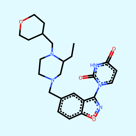 CCC1CN(Cc2ccc3onc(-n4ccc(=O)[nH]c4=O)c3c2)CCN1CC1CCOCC1